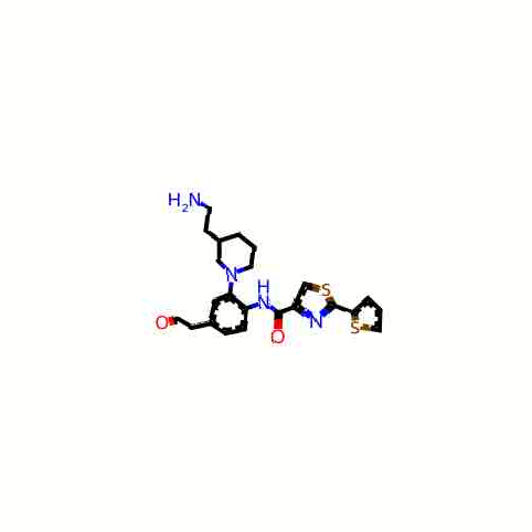 NCCC1CCCN(c2cc(CC=O)ccc2NC(=O)c2csc(-c3cccs3)n2)C1